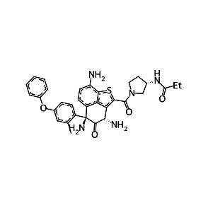 CCC(=O)N[C@H]1CCN(C(=O)c2sc3c(N)ccc4c3c2[C@H](N)C(=O)[C@]4(N)c2ccc(Oc3ccccc3)cc2C)C1